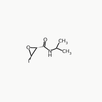 CC(C)NC(=O)[C@H]1O[C@@H]1I